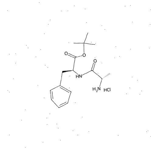 C[C@H](N)C(=O)N[C@@H](Cc1ccccc1)C(=O)OC(C)(C)C.Cl